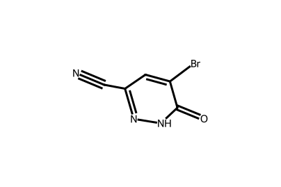 N#Cc1cc(Br)c(=O)[nH]n1